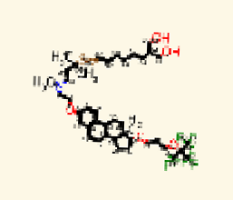 CN(CCOc1ccc2c(c1)CCC1C2CC[C@]2(C)C1CC[C@H]2OCCCOC(C(F)(F)F)(C(F)(F)F)C(F)(F)F)CCC(C)(C)SSCCCCCCC(CO)CO